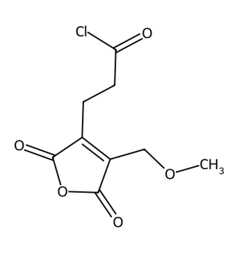 COCC1=C(CCC(=O)Cl)C(=O)OC1=O